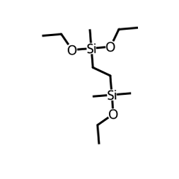 CCO[Si](C)(C)CC[Si](C)(OCC)OCC